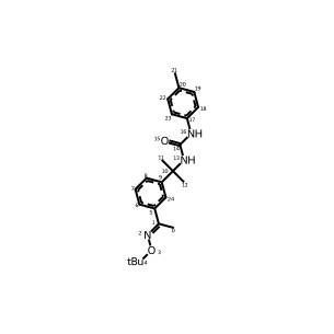 C/C(=N\OC(C)(C)C)c1cccc(C(C)(C)NC(=O)Nc2ccc(C)cc2)c1